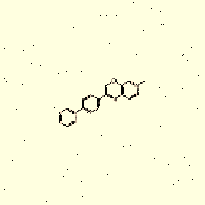 Cc1ccc2c(c1)OCC(c1ccc(-c3ccccc3)cc1)=N2